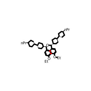 CCC[C@H]1CC[C@H]([C@H]2CC[C@H](C(OC(c3ccc(OCC)cc3)[C@H]3CC[C@H]([C@H]4CC[C@H](CCC)CC4)CC3)c3ccc(OCC)cc3)CC2)CC1